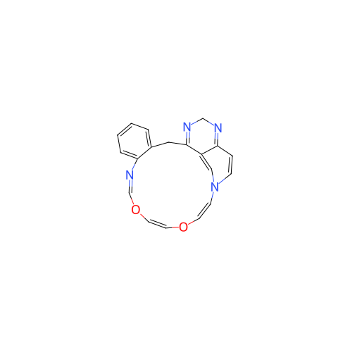 C1=CN2C=C3C1=NCN=C3Cc1ccccc1/N=C\O/C=C\O/C=C\2